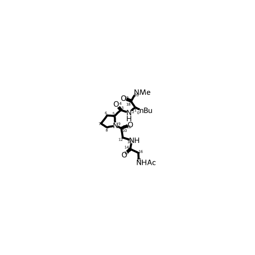 CCCCC(NC(=O)C1CCCN1C(=O)CNC(=O)CNC(C)=O)C(=O)NC